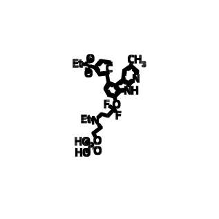 CCN(CCOP(=O)(O)O)CCC(F)(F)Oc1ccc(-c2cccc(S(=O)(=O)CC)c2)c2c1[nH]c1ncc(C)cc12